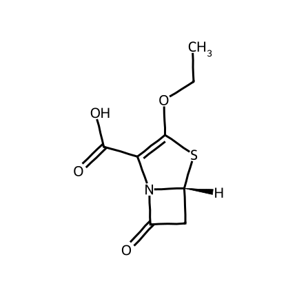 CCOC1=C(C(=O)O)N2C(=O)C[C@H]2S1